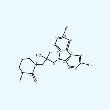 CC(O)(CN1CCCC(F)C1=O)Cn1c2ccc(F)cc2c2cc(F)ccc21